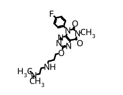 CN(C)CCNCCCOc1nnc2c(n1)c(=O)n(C)c(=O)n2-c1ccc(F)cc1